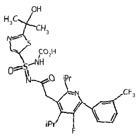 CC(C)c1nc(-c2cccc(C(F)(F)F)c2)c(F)c(C(C)C)c1CC(=O)N=S(=O)(NC(=O)O)c1cnc(C(C)(C)O)s1